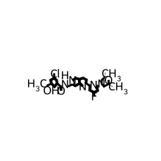 CC(O)c1cc(Cl)cc(C(=O)NCc2cc3nc(-c4cc(F)cc(N5C[C@@H](C)O[C@@H](C)C5)n4)ccc3cn2)c1